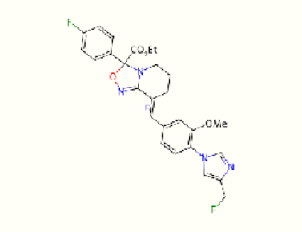 CCOC(=O)C1(c2ccc(F)cc2)ON=C2/C(=C/c3ccc(-n4cnc(CF)c4)c(OC)c3)CCCN21